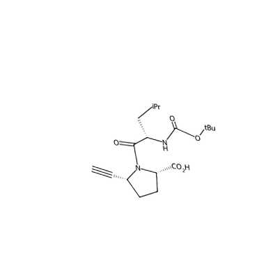 C#C[C@H]1CC[C@@H](C(=O)O)N1C(=O)[C@H](CC(C)C)NC(=O)OC(C)(C)C